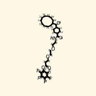 O=C(CCOCCOCCNC(=O)C1CCC(C(=O)C2CCCCCCCCCC2)CC1)Oc1c(F)c(F)c(F)c(F)c1F